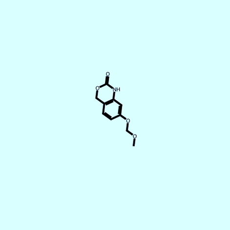 COCOc1ccc2c(c1)NC(=O)OC2